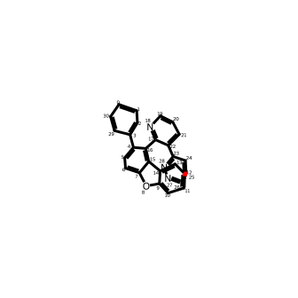 c1ccc(-c2ccc3oc4ccccc4c3c2-c2ncccc2-c2ccnnn2)cc1